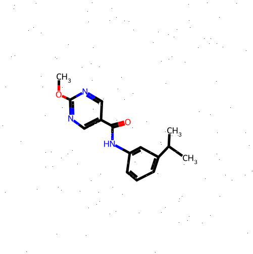 COc1ncc(C(=O)Nc2cccc(C(C)C)c2)cn1